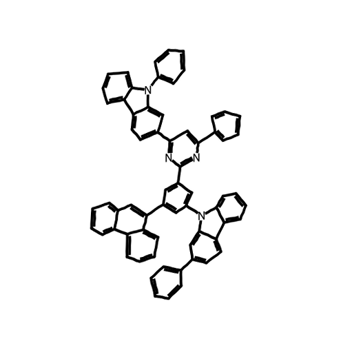 c1ccc(-c2ccc3c4ccccc4n(-c4cc(-c5nc(-c6ccccc6)cc(-c6ccc7c8ccccc8n(-c8ccccc8)c7c6)n5)cc(-c5cc6ccccc6c6ccccc56)c4)c3c2)cc1